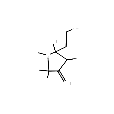 C=C1C(C)C(C)(CCC)N(C)C1(C)C